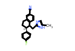 Cc1cnc(CC2c3ccc(C#N)cc3CC[C@@H]2c2ccc(F)cc2)[nH]1